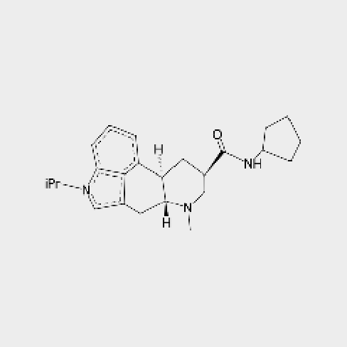 CC(C)n1cc2c3c(cccc31)[C@H]1C[C@@H](C(=O)NC3CCCC3)CN(C)[C@@H]1C2